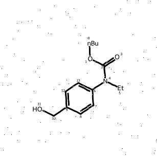 CCCCOC(=O)N(CC)c1ccc(CO)cc1